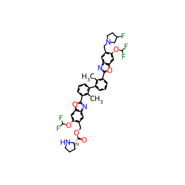 Cc1c(-c2nc3cc(COC(=O)[C@@H]4CCCN4)c(OC(F)F)cc3o2)cccc1-c1cccc(-c2nc3cc(CN4CCC(F)C4)c(OC(F)F)cc3o2)c1C